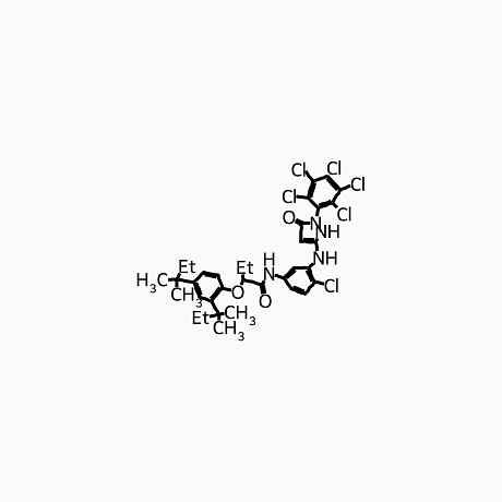 CCC(Oc1ccc(C(C)(C)CC)cc1C(C)(C)CC)C(=O)Nc1ccc(Cl)c(Nc2cc(=O)n(-c3c(Cl)c(Cl)c(Cl)c(Cl)c3Cl)[nH]2)c1